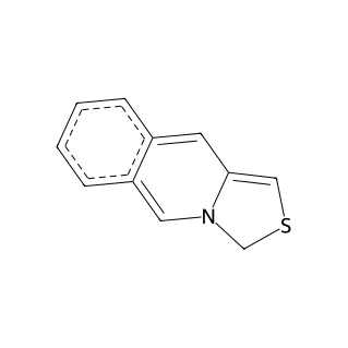 C1=C2C=c3ccccc3=CN2CS1